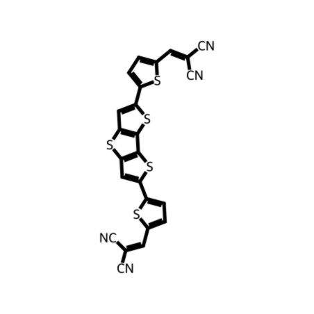 N#CC(C#N)=Cc1ccc(-c2cc3sc4cc(-c5ccc(C=C(C#N)C#N)s5)sc4c3s2)s1